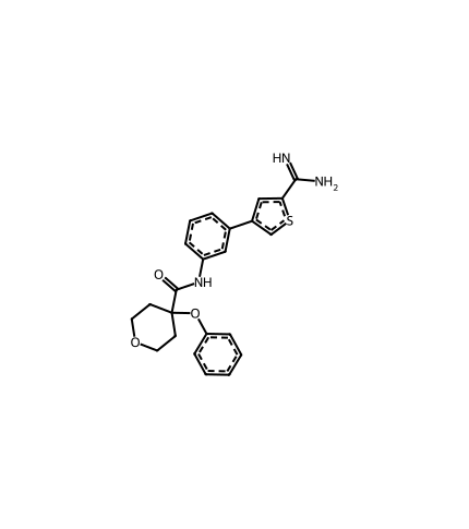 N=C(N)c1cc(-c2cccc(NC(=O)C3(Oc4ccccc4)CCOCC3)c2)cs1